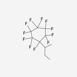 CCC(C)C1(F)C(F)(F)C(F)(F)C(F)(F)C(F)(F)C1(F)F